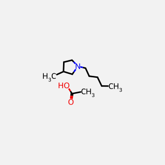 CC(=O)O.CCCCCN1CCC(C)C1